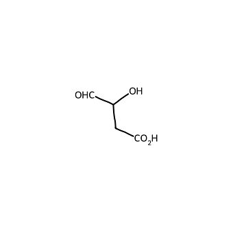 O=CC(O)CC(=O)O